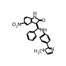 Cn1ccnc1-c1ccc(N/C(=C2\C(=O)Nc3ccc([N+](=O)[O-])cc32)c2ccccc2)cc1